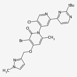 Cc1cc(OCc2ccn(C)n2)c(Br)c(=O)n1-c1cc(-c2ccnc(C(C)(C)C)n2)ncc1Cl